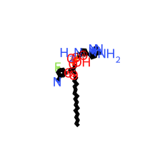 CCCCCCCCCCCCCCCCCOC[C@@H](COc1cc(F)cc(C#N)c1)COP(=O)(O)OC[C@]1(N)CC[C@H](c2ccc3c(N)ncnn23)O1